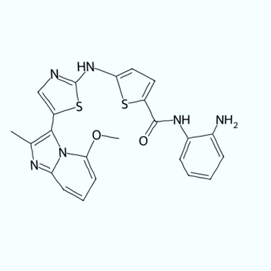 COc1cccc2nc(C)c(-c3cnc(Nc4ccc(C(=O)Nc5ccccc5N)s4)s3)n12